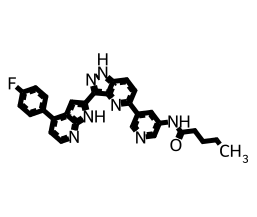 CCCCC(=O)Nc1cncc(-c2ccc3[nH]nc(-c4cc5c(-c6ccc(F)cc6)ccnc5[nH]4)c3n2)c1